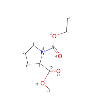 CCOC(=O)N1CCCC1C(=O)OC